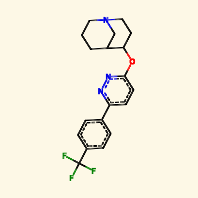 FC(F)(F)c1ccc(-c2ccc(OC3CCN4CCCC3C4)nn2)cc1